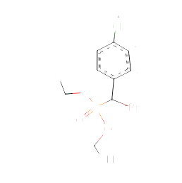 CCOP(=O)(OCC)C(Br)c1ccc(Cl)cc1